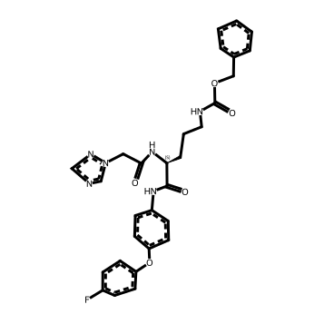 O=C(Cn1cncn1)N[C@@H](CCCNC(=O)OCc1ccccc1)C(=O)Nc1ccc(Oc2ccc(F)cc2)cc1